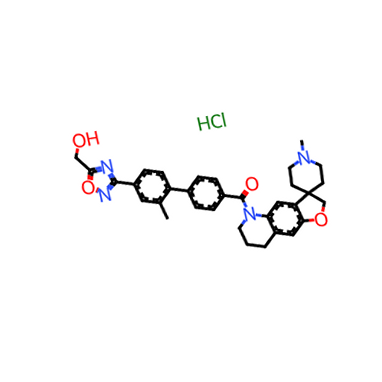 Cc1cc(-c2noc(CO)n2)ccc1-c1ccc(C(=O)N2CCCc3cc4c(cc32)C2(CCN(C)CC2)CO4)cc1.Cl